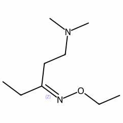 CCO/N=C(/CC)CCN(C)C